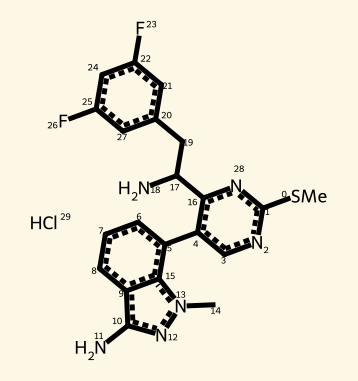 CSc1ncc(-c2cccc3c(N)nn(C)c23)c(C(N)Cc2cc(F)cc(F)c2)n1.Cl